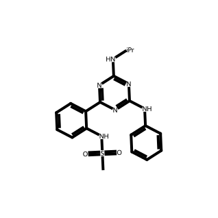 CC(C)Nc1nc(Nc2ccccc2)nc(-c2ccccc2NS(C)(=O)=O)n1